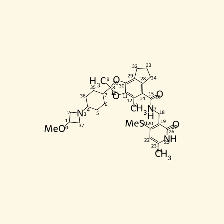 COC1CN(C2CCC(C3(C)Oc4c(C)c(C(=O)NCc5c(SC)cc(C)[nH]c5=O)c5c(c4O3)CCC5)CC2)C1